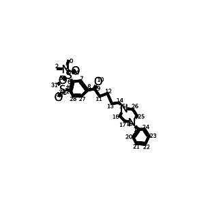 CN(C)S(=O)(=O)c1cc(C(=O)CCCCN2CCN(c3ccccc3)CC2)ccc1[S+](C)[O-]